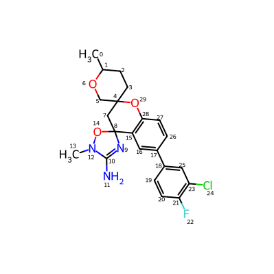 CC1CCC2(CO1)CC1(N=C(N)N(C)O1)c1cc(-c3ccc(F)c(Cl)c3)ccc1O2